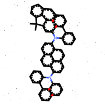 CC1(C)c2cccc3ccc4cc(N(c5ccccc5-c5ccccc5)c5ccc6ccc7c(N(c8ccccc8)c8ccccc8-c8ccccc8)ccc8ccc5c6c87)cc1c4c23